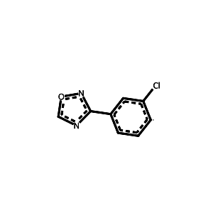 Clc1[c]ccc(-c2ncon2)c1